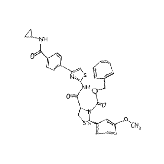 COc1cccc([C@H]2SCC(C(=O)Nc3nc(-c4ccc(C(=O)NC5CC5)cc4)cs3)N2C(=O)OCc2ccccc2)c1